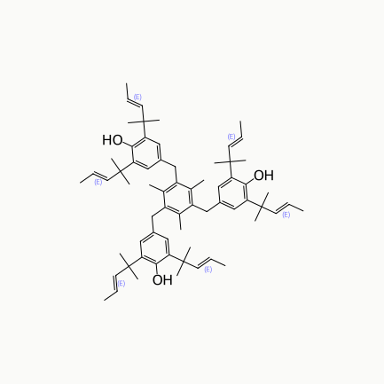 C/C=C/C(C)(C)c1cc(Cc2c(C)c(Cc3cc(C(C)(C)/C=C/C)c(O)c(C(C)(C)/C=C/C)c3)c(C)c(Cc3cc(C(C)(C)/C=C/C)c(O)c(C(C)(C)/C=C/C)c3)c2C)cc(C(C)(C)/C=C/C)c1O